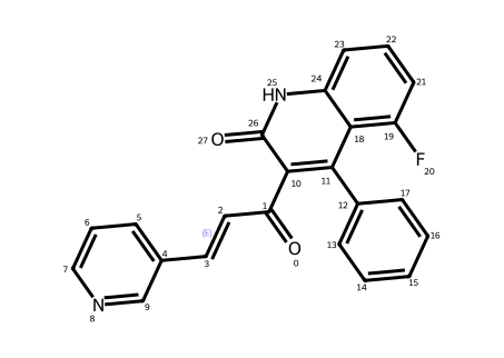 O=C(/C=C/c1cccnc1)c1c(-c2ccccc2)c2c(F)cccc2[nH]c1=O